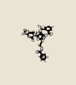 O=C1O[C@@H]2[C@H](OC(=O)c3ccccc31)[C@@H](CCOC(=O)C13CCC(CC1)CC3)O[C@H]2n1ccc(NO)nc1=O